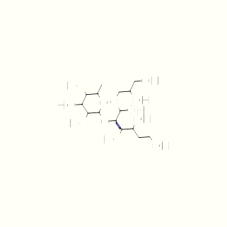 CC1OC(O/C(=C(\O)C(O)CCO)C(O)OCC(O)CO)C(O)C(O)C1O